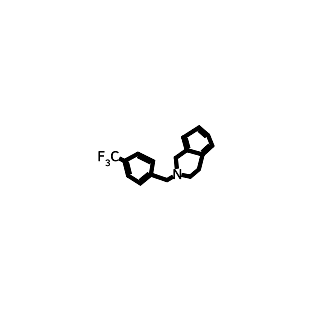 FC(F)(F)c1ccc(CN2CCc3ccccc3C2)cc1